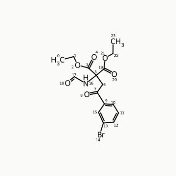 CCOC(=O)C(CC(=O)c1cccc(Br)c1)(NC=O)C(=O)OCC